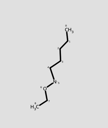 CCCCC[N]OCC